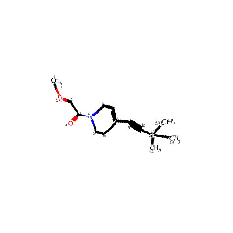 COCC(=O)N1CC=C(C#C[Si](C)(C)C)CC1